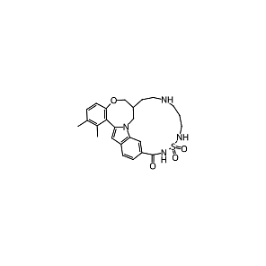 Cc1ccc2c(c1C)-c1cc3ccc4cc3n1CC(CCNCCCNS(=O)(=O)NC4=O)CO2